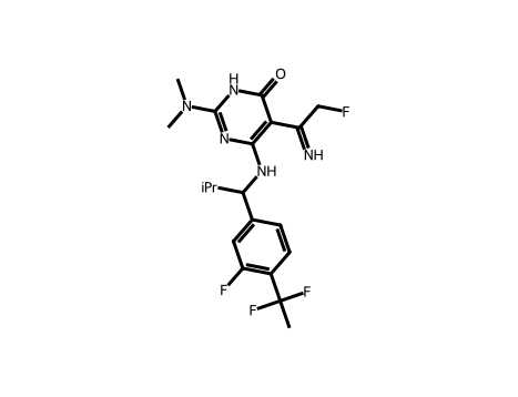 CC(C)C(Nc1nc(N(C)C)[nH]c(=O)c1C(=N)CF)c1ccc(C(C)(F)F)c(F)c1